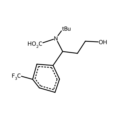 CC(C)(C)N(C(=O)O)C(CCO)c1cccc(C(F)(F)F)c1